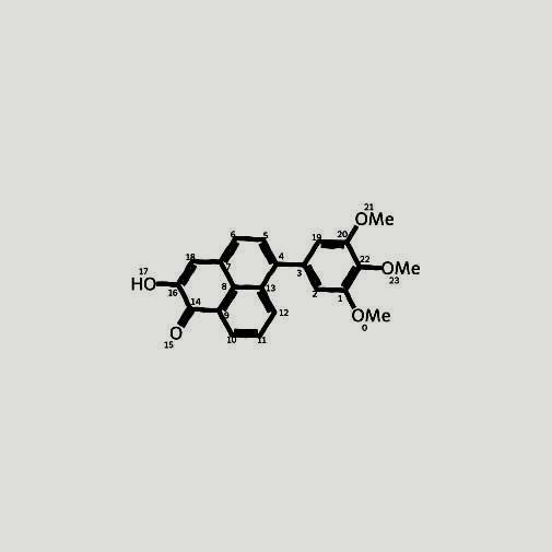 COc1cc(-c2ccc3c4c(cccc24)C(=O)C(O)=C3)cc(OC)c1OC